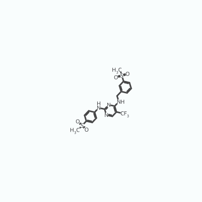 CS(=O)(=O)c1ccc(Nc2ncc(C(F)(F)F)c(NCc3cccc(S(C)(=O)=O)c3)n2)cc1